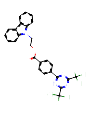 O=C(OCCn1c2ccccc2c2ccccc21)c1ccc(-c2nc(C(Cl)(Cl)Cl)nc(C(Cl)(Cl)Cl)n2)cc1